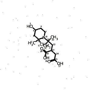 CC1(C)CC(O)CCN1C(C)(C)CC(CC(=O)O)C(=O)O